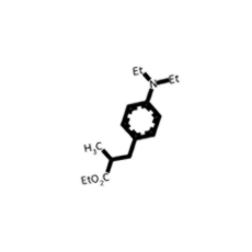 CCOC(=O)C(C)Cc1ccc(N(CC)CC)cc1